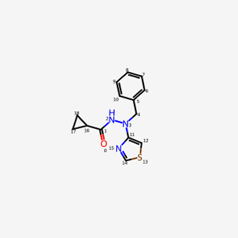 O=C(NN(Cc1ccccc1)c1cscn1)C1CC1